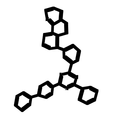 c1ccc(-c2ccc(-c3nc(-c4ccccc4)nc(-c4cccc(-c5cccc6c5ccc5cccnc56)c4)n3)cc2)cc1